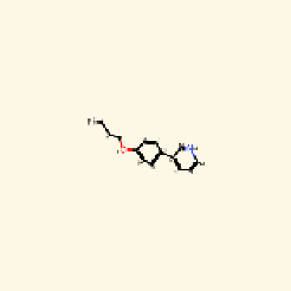 CC(C)CCCOc1ccc(-c2cccnc2)cc1